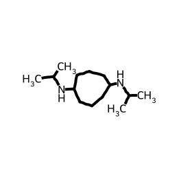 CC(C)NC1CCCC(NC(C)C)CCC1